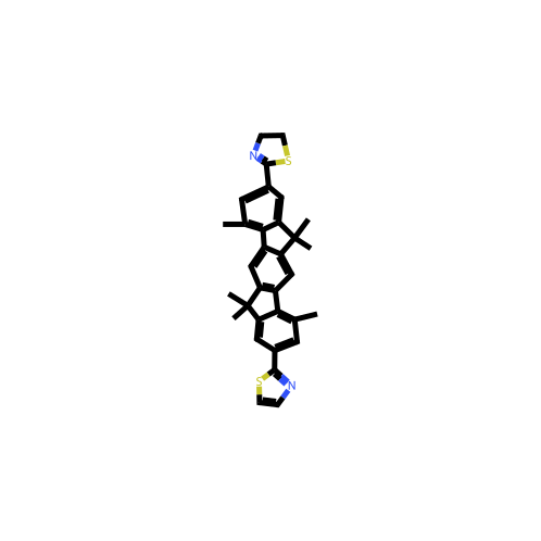 Cc1cc(C2=NCCS2)cc2c1-c1cc3c(cc1C2(C)C)-c1c(C)cc(-c2nccs2)cc1C3(C)C